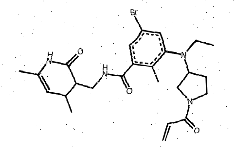 C=CC(=O)N1CCC(N(CC)c2cc(Br)cc(C(=O)NCC3C(=O)NC(C)=CC3C)c2C)C1